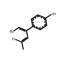 CCCc1ccc(C(/C=C(/C)CC)=C/C(C)CC)cc1